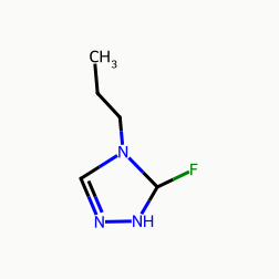 CCCN1C=NNC1F